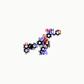 O=C(NS(=O)(=O)c1ccc(NCC2CCOCC2)c([N+](=O)[O-])c1)c1ccc(N2CCC3(CC2)CC(N2CCCC[C@]24CCOc2ccccc24)C3)cc1N1c2cc3cc[nH]c3nc2O[C@@H]2CCOC[C@@H]21